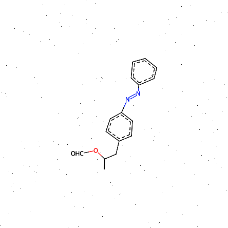 CC(Cc1ccc(N=Nc2ccccc2)cc1)OC=O